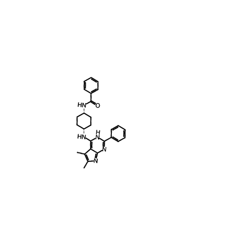 Cc1nc2nc(-c3ccccc3)[nH]c(N[C@H]3CC[C@@H](NC(=O)c4ccccc4)CC3)c-2c1C